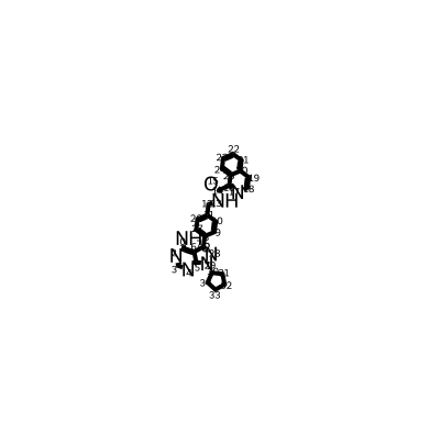 Nc1ncnc2c1c(-c1ccc(CNC(=O)c3nccc4ccccc34)cc1)nn2C1CCCC1